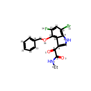 CCNC(=O)C(=O)c1c[nH]c2c(Br)cc(F)c(OCc3ccccc3)c12